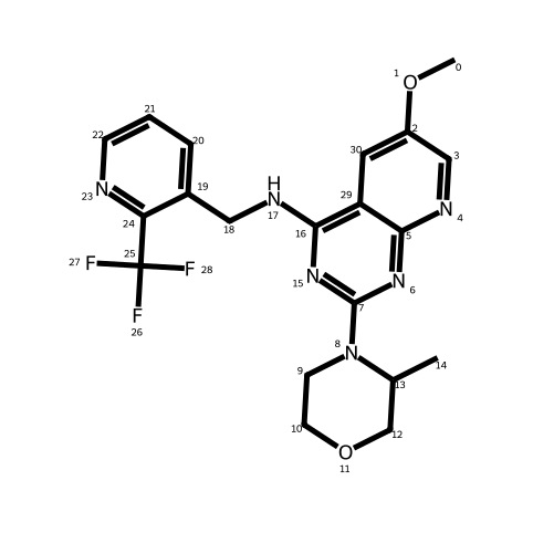 COc1cnc2nc(N3CCOCC3C)nc(NCc3cccnc3C(F)(F)F)c2c1